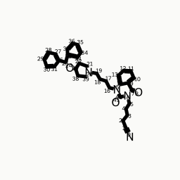 N#CCCCCn1c(=O)c2ccccc2n(CCCCN2CCC(OC(c3ccccc3)c3ccccc3)CC2)c1=O